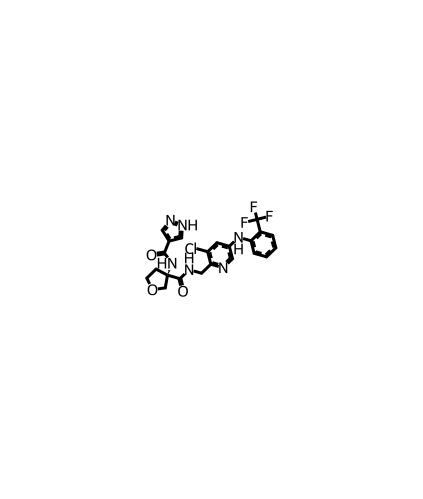 O=C(N[C@@]1(C(=O)NCc2ncc(Nc3ccccc3C(F)(F)F)cc2Cl)CCOC1)c1cn[nH]c1